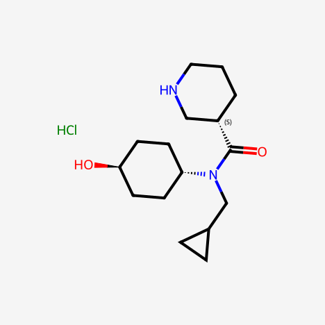 Cl.O=C([C@H]1CCCNC1)N(CC1CC1)[C@H]1CC[C@H](O)CC1